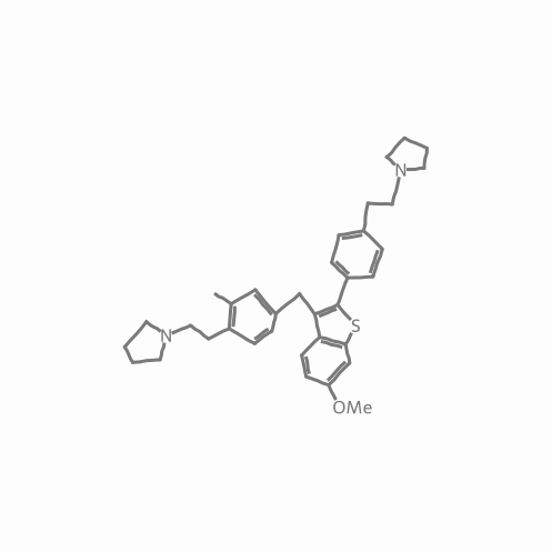 COc1ccc2c(Cc3ccc(CCN4CCCC4)c(C)c3)c(-c3ccc(CCN4CCCC4)cc3)sc2c1